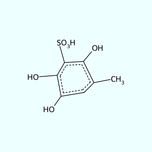 Cc1cc(O)c(O)c(S(=O)(=O)O)c1O